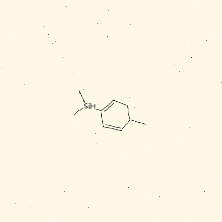 CC1C=CC([SiH](C)C)=CC1